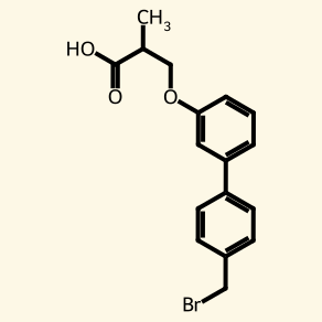 CC(COc1cccc(-c2ccc(CBr)cc2)c1)C(=O)O